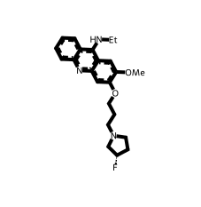 CCNc1c2ccccc2nc2cc(OCCCN3CC[C@H](F)C3)c(OC)cc12